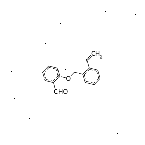 C=Cc1ccccc1COc1ccccc1C=O